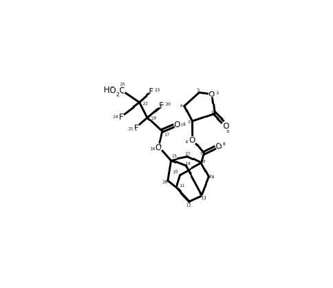 O=C1OCCC1OC(=O)C12CC3CC(CC(OC(=O)C(F)(F)C(F)(F)C(=O)O)(C3)C1)C2